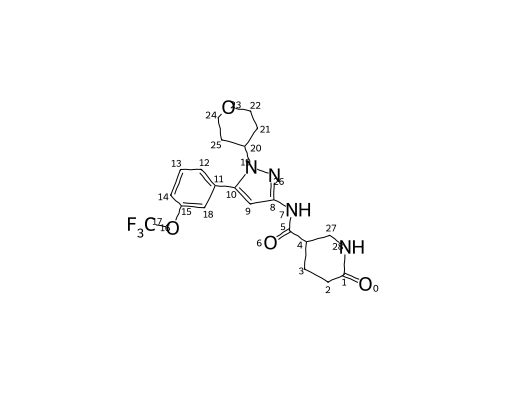 O=C1CCC(C(=O)Nc2cc(-c3cccc(OC(F)(F)F)c3)n(C3CCOCC3)n2)CN1